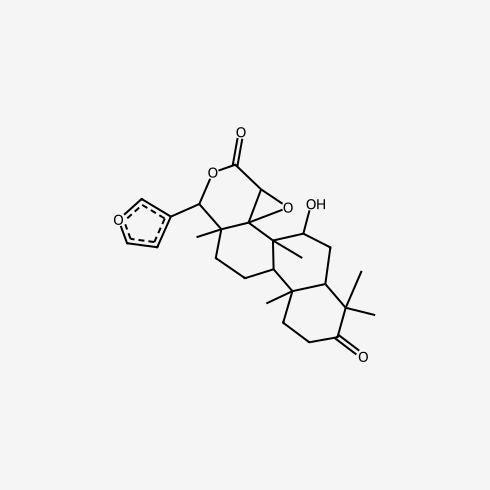 CC1(C)C(=O)CCC2(C)C1CC(O)C1(C)C2CCC2(C)C(c3ccoc3)OC(=O)C3OC321